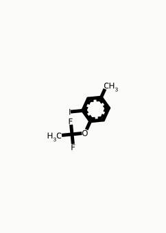 Cc1ccc(OC(C)(F)F)c(I)c1